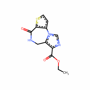 CCOC(=O)c1ncn2c1CNC(=O)c1sccc1-2